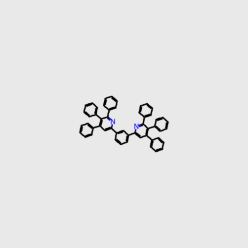 c1ccc(-c2cc(-c3cccc(-c4cc(-c5ccccc5)c(-c5ccccc5)c(-c5ccccc5)n4)c3)nc(-c3ccccc3)c2-c2ccccc2)cc1